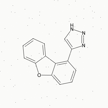 c1ccc2c(c1)oc1cccc(-c3c[nH]nn3)c12